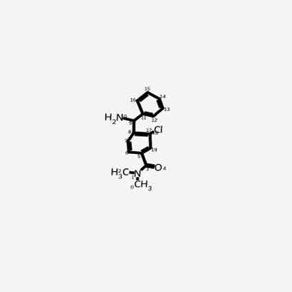 CN(C)C(=O)c1ccc(C(N)c2ccccc2)c(Cl)c1